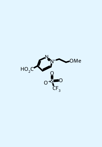 COCC[n+]1ccc(C(=O)O)cn1.O=S(=O)([O-])C(F)(F)F